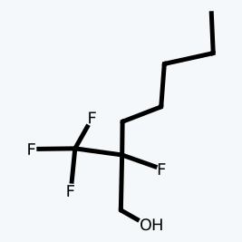 CCCCCC(F)(CO)C(F)(F)F